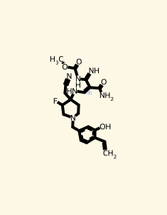 C=Cc1ccc(CN2CCC(CC#N)(N/C=C(\C(=N)NC(=O)OC)C(N)=O)C(F)C2)cc1O